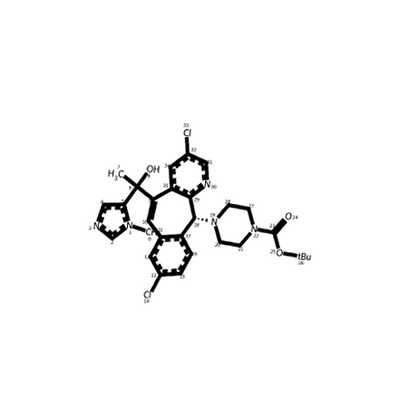 Cn1cncc1C(C)(O)C1=Cc2cc(Cl)ccc2[C@@H](N2CCN(C(=O)OC(C)(C)C)CC2)c2ncc(Cl)cc21